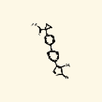 COC(=O)C1(c2ccc(-c3ccc(C4=C(N)C(C(C)C)N=C4)cc3)cc2)CC1